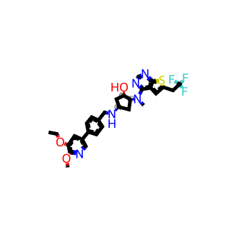 CCOc1cc(-c2ccc(CN[C@H]3C[C@@H](O)[C@@H](N(C)c4ncnc5sc(CC(F)(F)F)cc45)C3)cc2)cnc1OC